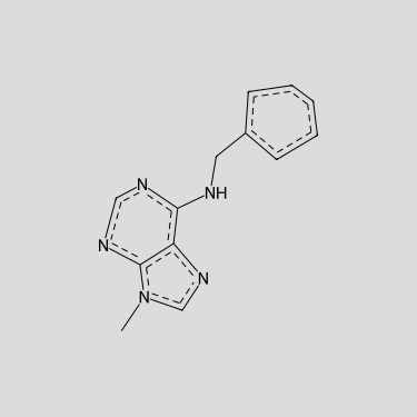 Cn1cnc2c(NCc3ccccc3)ncnc21